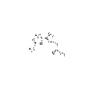 CC(OC(N)=O)c1cc(CC(N)=O)cs1